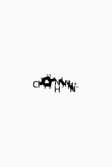 [N-]=[N+]=NCCNCc1ccc(Cl)cc1